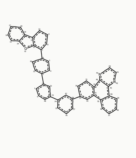 c1cc(-c2ccc(-c3cccc4c3oc3ccccc34)cc2)cc(-c2cccc(-c3ccc4c(c3)c3ccccc3c3nccnc43)c2)c1